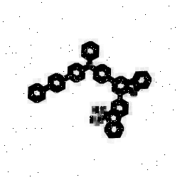 CC1(C)c2ccccc2-c2ccc(-c3cc(-c4ccc(N(c5ccccc5)c5ccc(-c6ccc(-c7ccccc7)cc6)cc5)cc4)cc4c3oc3ccccc34)cc21